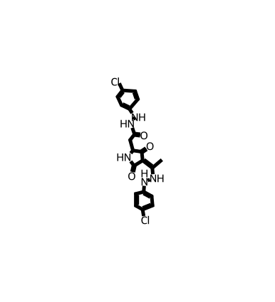 CC(NNc1ccc(Cl)cc1)=C1C(=O)NC(CC(=O)NNc2ccc(Cl)cc2)C1=O